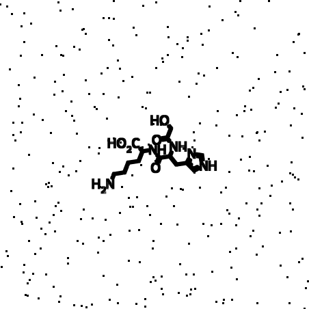 NCCCCC(NC(=O)C(Cc1c[nH]cn1)NC(=O)CO)C(=O)O